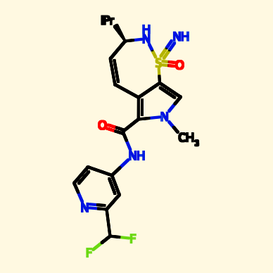 CC(C)[C@@H]1C=Cc2c(cn(C)c2C(=O)Nc2ccnc(C(F)F)c2)S(=N)(=O)N1